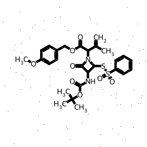 C=C(C)C(C(=O)OCc1ccc(OC)cc1)N1C(=O)C(NC(=O)OC(C)(C)C)C1SS(=O)(=O)c1ccccc1